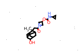 CC1(CC(=O)N2CC(OC(=O)NC3CC3)C2)C2CC3CC1CC(C2)C3O